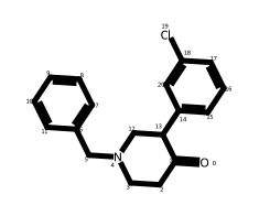 O=C1CCN(Cc2ccccc2)CC1c1cccc(Cl)c1